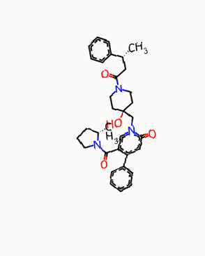 C[C@H](CC(=O)N1CCC(O)(Cn2cc(C(=O)N3CCC[C@@H]3C)c(-c3ccccc3)cc2=O)CC1)c1ccccc1